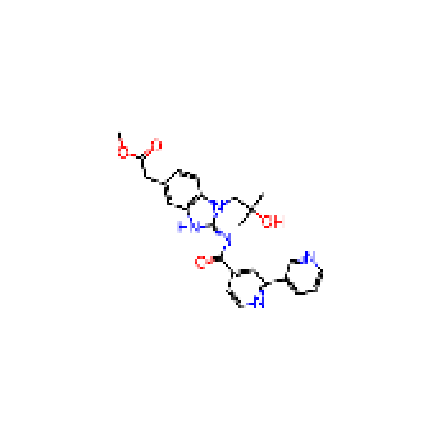 COC(=O)Cc1ccc2c(c1)[nH]/c(=N\C(=O)c1ccnc(-c3cccnc3)c1)n2CC(C)(C)O